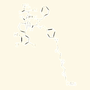 CC[C@H](C)[C@H](NC(=O)[C@@]1(NC(=O)C(CCc2ccc(OCCOCCOCCOCCOC)cc2)N(Cc2ccccc2)C(=O)O)CCc2[nH]c3c(Cl)cc(Cl)cc3c2C1)C(N)=S